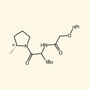 CCCOCC(=O)NC(C(=O)N1CCC[C@H]1C)C(C)(C)C